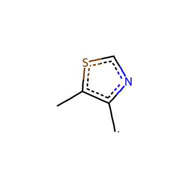 [CH2]c1ncsc1C